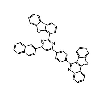 c1ccc2cc(-c3cc(-c4ccc(-c5nc6ccccc6c6oc7ccccc7c56)cc4)nc(-c4cccc5c4oc4ccccc45)n3)ccc2c1